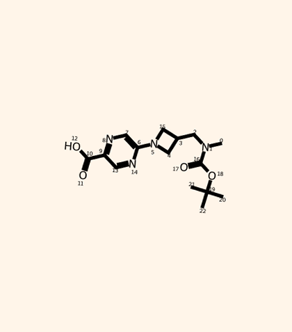 CN(CC1CN(c2cnc(C(=O)O)cn2)C1)C(=O)OC(C)(C)C